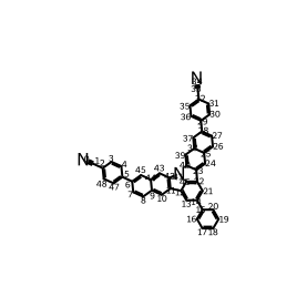 N#Cc1ccc(-c2ccc3cc4c5cc(-c6ccccc6)cc6c7cc8ccc(-c9ccc(C#N)cc9)cc8cc7n(c4cc3c2)c56)cc1